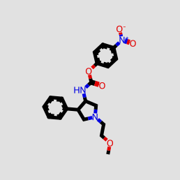 COCCN1CC(NC(=O)Oc2ccc([N+](=O)[O-])cc2)C(c2ccccc2)C1